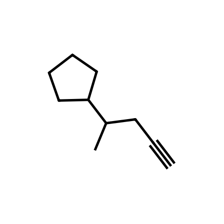 C#CCC(C)C1CCCC1